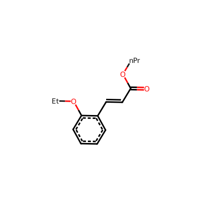 CCCOC(=O)C=Cc1ccccc1OCC